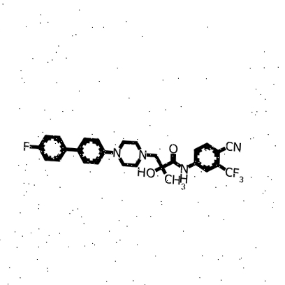 CC(O)(CN1CCN(c2ccc(-c3ccc(F)cc3)cc2)CC1)C(=O)Nc1ccc(C#N)c(C(F)(F)F)c1